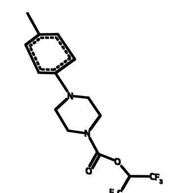 Cc1ccc(N2CCN(C(=O)OC(C(F)(F)F)C(F)(F)F)CC2)cc1